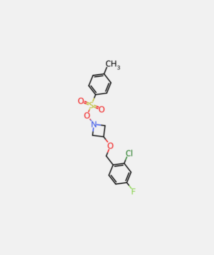 Cc1ccc(S(=O)(=O)ON2CC(OCc3ccc(F)cc3Cl)C2)cc1